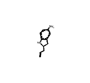 C=CCC1Cc2cc(N)ccc2N1